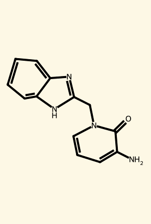 Nc1cccn(Cc2nc3ccccc3[nH]2)c1=O